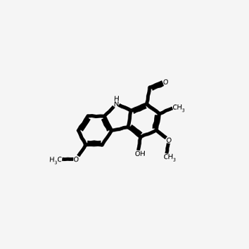 COc1ccc2[nH]c3c(C=O)c(C)c(OC)c(O)c3c2c1